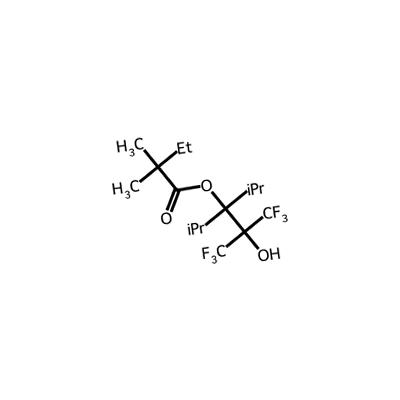 CCC(C)(C)C(=O)OC(C(C)C)(C(C)C)C(O)(C(F)(F)F)C(F)(F)F